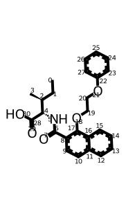 CC[C@H](C)[C@H](NC(=O)c1ccc2ccccc2c1OCCOc1ccccc1)C(=O)O